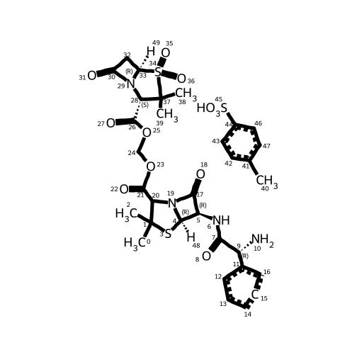 CC1(C)S[C@@H]2[C@H](NC(=O)[C@H](N)c3ccccc3)C(=O)N2C1C(=O)OCOC(=O)[C@@H]1N2C(=O)C[C@H]2S(=O)(=O)C1(C)C.Cc1ccc(S(=O)(=O)O)cc1